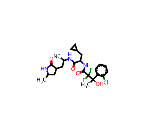 CC1CC(CC(C#N)NC(=O)C(CC2CC2)NC(=O)C(F)(F)C(C)(O)c2ccccc2Cl)C(=O)N1